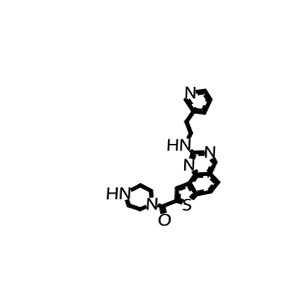 O=C(c1cc2c(ccc3cnc(NCCc4cccnc4)nc32)s1)N1CCNCC1